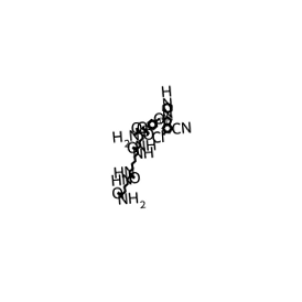 N#Cc1cc(Cl)cc2c1C[C@H](N1CCNCC1)[C@H]2Oc1ccc(S(=O)(=O)C(CCNC(=O)NCCCCNC(=O)NCCCC(N)=O)C(N)=O)cc1